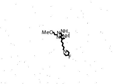 COCCc1nc(N)c2[nH]cc(CCCCCN3CCC(F)CC3)c2n1